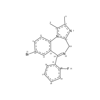 Cc1nc2n(c1C)-c1ccc(Br)cc1C(c1ccccc1F)=NC2